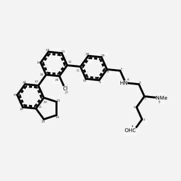 CNC(CCC=O)CNCc1ccc(-c2cccc(-c3cccc4c3CCC4)c2Cl)cc1